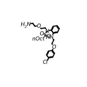 CCCCCCCCS(=O)(=O)N(CCOCCN)c1ccccc1NCCOc1ccc(Cl)cc1